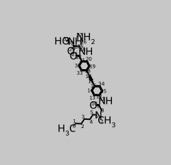 CCCCCCN(C)CC(=O)Nc1ccc(C#Cc2ccc(C(=O)N[C@@H](CN)C(=O)NO)cc2)cc1